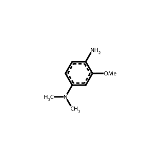 COc1cc(N(C)C)ccc1N